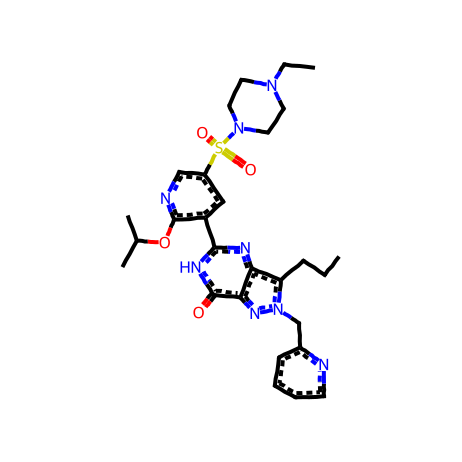 CCCc1c2nc(-c3cc(S(=O)(=O)N4CCN(CC)CC4)cnc3OC(C)C)[nH]c(=O)c2nn1Cc1ccccn1